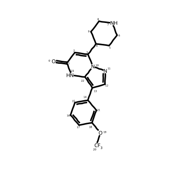 O=c1cc(C2CCNCC2)n2ncc(-c3cccc(OC(F)(F)F)c3)c2[nH]1